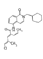 C\C=C/C(=C\C(C)=C\Cl)C(=O)Nc1cccc2c(=O)n(CC3CCCCC3)ccc12